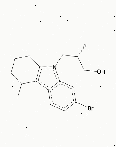 CC1CCCc2c1c1ccc(Br)cc1n2C[C@H](C)CO